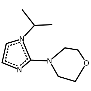 CC(C)n1ccnc1N1CCOCC1